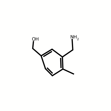 Cc1ccc(CO)cc1CN